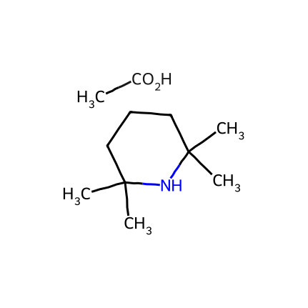 CC(=O)O.CC1(C)CCCC(C)(C)N1